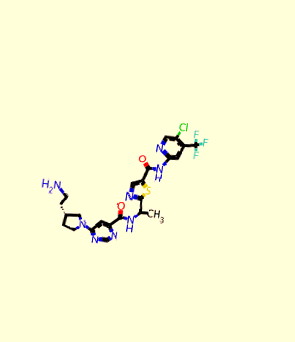 CC(NC(=O)c1cc(N2CC[C@H](CCN)C2)ncn1)c1ncc(C(=O)Nc2cc(C(F)(F)F)c(Cl)cn2)s1